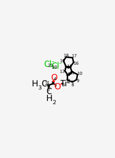 C=C(C)C(=O)[O][Ti+2][CH]1CCCC2=C1CC1=C2CCCC1.[Cl-].[Cl-]